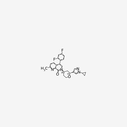 Cc1ccc2c(-c3ccc(F)cc3F)cn([C@@H]3CCO[C@H](c4cnn(C5CC5)c4)C3)c(=O)c2n1